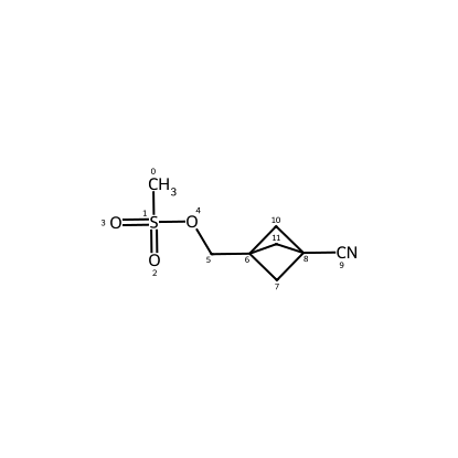 CS(=O)(=O)OCC12CC(C#N)(C1)C2